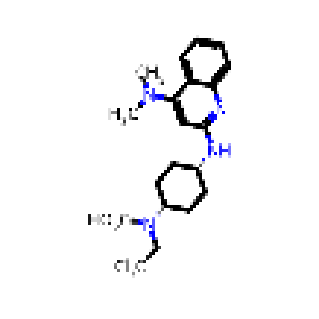 CN(C)c1cc(N[C@H]2CC[C@@H](N(CC(Cl)(Cl)Cl)C(=O)O)CC2)nc2ccccc12